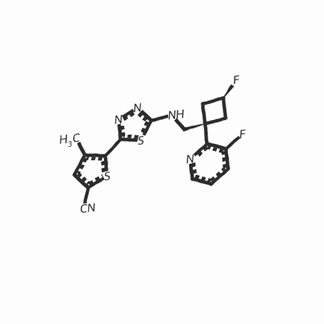 Cc1cc(C#N)sc1-c1nnc(NC[C@]2(c3ncccc3F)C[C@H](F)C2)s1